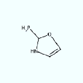 PC1NC=CO1